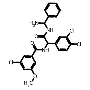 COc1cc(Cl)cc(C(=O)NC(C(=O)NC(N)c2ccccc2)c2ccc(Cl)c(Cl)c2)c1